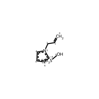 C=CCn1ccnc1.O=S(=O)(O)O